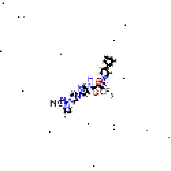 N#CN=C(N1CCCC1)N1CCN(c2ccc(NC(=O)c3oc(N4CCC(c5ccccc5)CC4)nc3C(F)(F)F)cn2)CC1